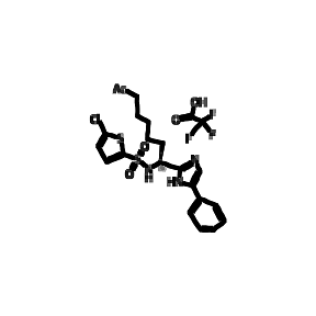 CC(=O)CCCCC[C@H](NS(=O)(=O)c1ccc(Cl)s1)c1ncc(-c2ccccc2)[nH]1.O=C(O)C(F)(F)F